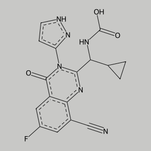 N#Cc1cc(F)cc2c(=O)n(-c3cc[nH]n3)c(C(NC(=O)O)C3CC3)nc12